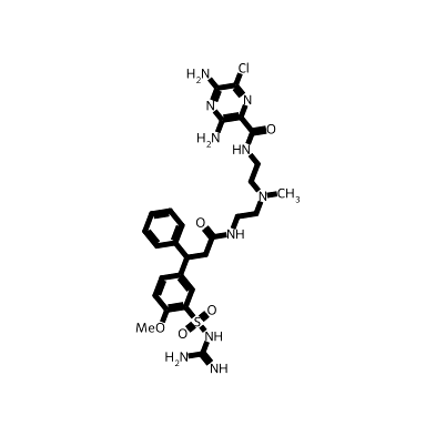 COc1ccc(C(CC(=O)NCCN(C)CCNC(=O)c2nc(Cl)c(N)nc2N)c2ccccc2)cc1S(=O)(=O)NC(=N)N